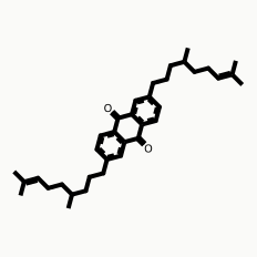 CC(C)=CCCC(C)CCCc1ccc2c(c1)C(=O)c1ccc(CCCC(C)CCC=C(C)C)cc1C2=O